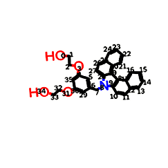 OCCOc1cc(Cn2c3ccc4ccccc4c3c3c4ccccc4ccc32)cc(OCCO)c1